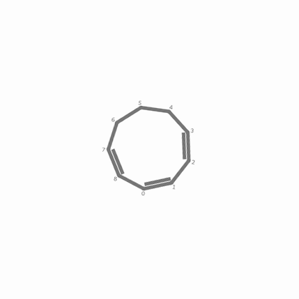 C1=CC=CCCCC=C1